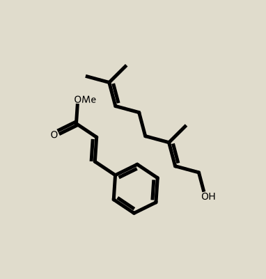 CC(C)=CCC/C(C)=C/CO.COC(=O)/C=C/c1ccccc1